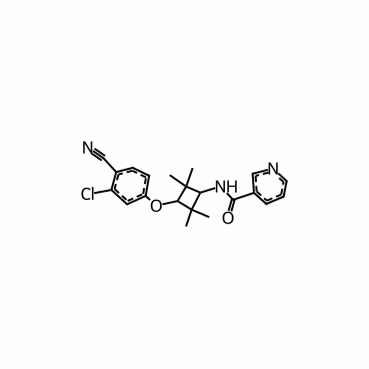 CC1(C)C(NC(=O)c2cccnc2)C(C)(C)C1Oc1ccc(C#N)c(Cl)c1